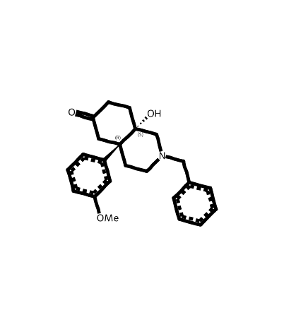 COc1cccc([C@]23CCN(Cc4ccccc4)C[C@]2(O)CCC(=O)C3)c1